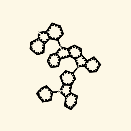 c1ccc(-n2c3ccccc3c3cc(-n4c5ccccc5c5ccc6c(c7ccccc7n6-c6cccc7oc8ccccc8c67)c54)ccc32)cc1